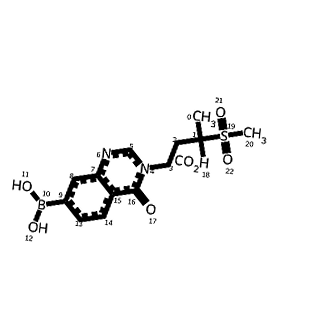 CC(CCn1cnc2cc(B(O)O)ccc2c1=O)(C(=O)O)S(C)(=O)=O